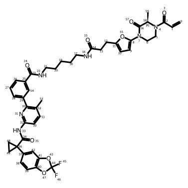 C=CC(=O)N1CCN(c2ccc(CCC(=O)NCCCCCNC(=O)c3cccc(-c4nc(NC(=O)C5(c6ccc7c(c6)OC(F)(F)O7)CC5)ccc4C)c3)o2)C(=O)[C@H]1C